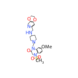 COc1ccc2c(c1)N(CCN1CCC(NCc3cc4c(cn3)OCCO4)CC1)C(=O)CN2S(C)(=O)=O